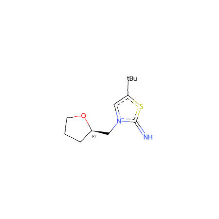 CC(C)(C)c1cn(C[C@H]2CCCO2)c(=N)s1